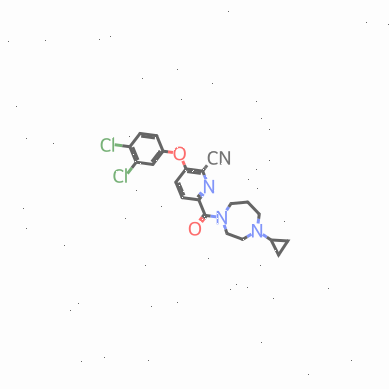 N#Cc1nc(C(=O)N2CCCN(C3CC3)CC2)ccc1Oc1ccc(Cl)c(Cl)c1